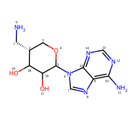 NC[C@@H]1COC(n2cnc3c(N)ncnc32)C(O)C1O